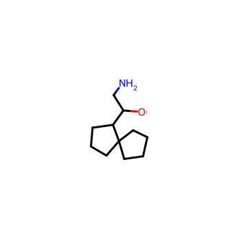 NCC([O])C1CCCC12CCCC2